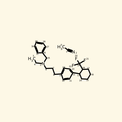 CC#N.CCN(CCCc1ccc(C2CCCCC2C(F)(F)F)cc1)Cc1ccccc1